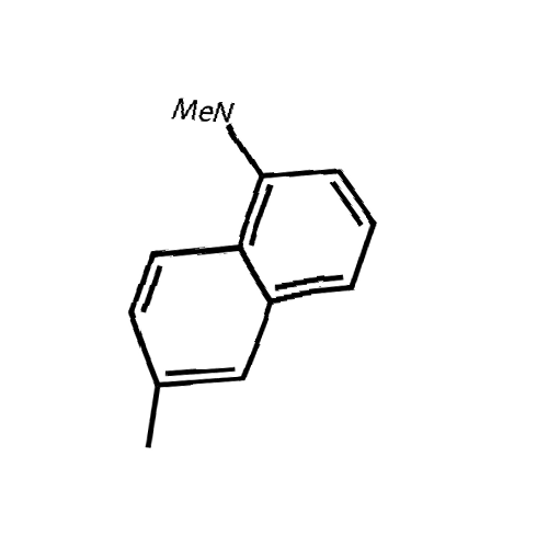 CNc1cccc2cc(C)ccc12